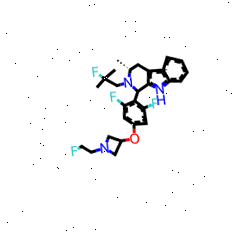 C[C@@H]1Cc2c([nH]c3ccccc23)C(c2c(F)cc(OC3CN(CCF)C3)cc2F)N1CC(C)(C)F